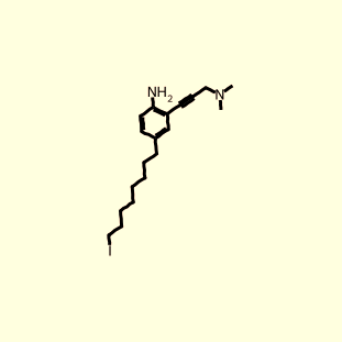 CN(C)CC#Cc1cc(CCCCCCCCI)ccc1N